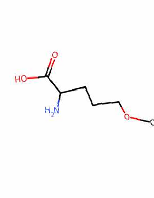 COCCCC(N)C(=O)O